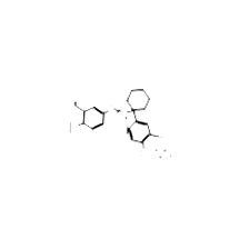 COc1ccc(C2(NSC3=CC(CF)C(F)C=C3)CCCCC2)cc1F